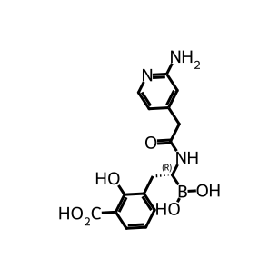 Nc1cc(CC(=O)N[C@@H](Cc2cccc(C(=O)O)c2O)B(O)O)ccn1